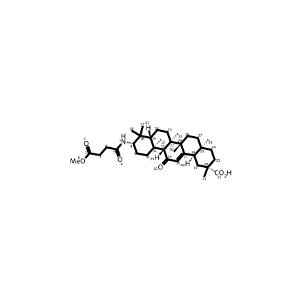 COC(=O)CCC(=O)N[C@H]1CC[C@]2(C)[C@H]3C(=O)C=C4[C@@H]5C[C@@](C)(C(=O)O)CC[C@]5(C)CC[C@@]4(C)[C@]3(C)CC[C@H]2C1(C)C